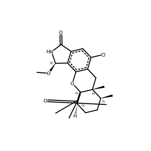 CO[C@H]1NC(=O)c2cc(Cl)c3c(c21)O[C@@]12CCC(=O)C(C)(C)[C@@H]1CC[C@H](C)[C@@]2(C)C3